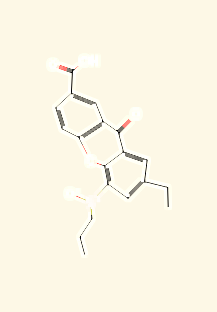 CCC[S+]([O-])c1cc(CC)cc2c(=O)c3cc(C(=O)O)ccc3oc12